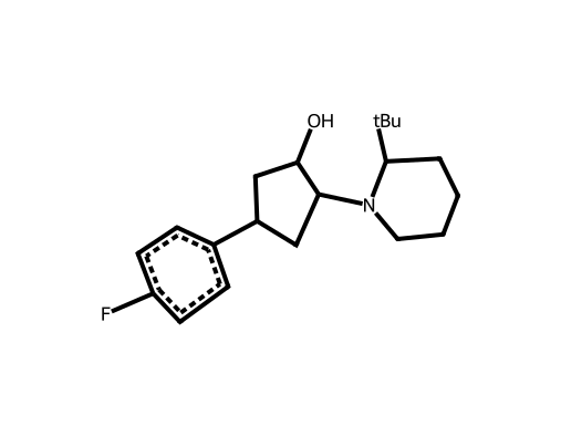 CC(C)(C)C1CCCCN1C1CC(c2ccc(F)cc2)CC1O